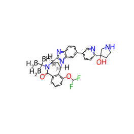 BC(B)(B)N1C(=O)c2cccc(OC(F)F)c2[C@H]2C[C@@H]1c1nc3ccc(-c4ccc(C5(O)CCNC5)nc4)cc3n12